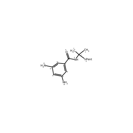 CCCCCC(C)(C)NC(=O)c1cc(N)cc(N)c1